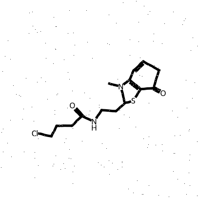 CN1C2=C(SC1CCNC(=O)CCCCl)C(=O)CC=C2